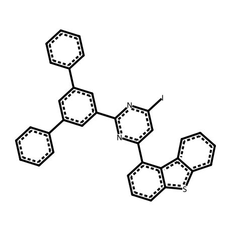 Ic1cc(-c2cccc3sc4ccccc4c23)nc(-c2cc(-c3ccccc3)cc(-c3ccccc3)c2)n1